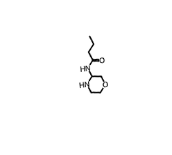 CCCC(=O)NC1COCCN1